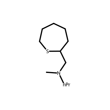 CCCN(C)CC1CCCCCS1